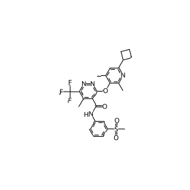 Cc1cc(C2CCC2)nc(C)c1Oc1nnc(C(F)(F)F)c(C)c1C(=O)Nc1cccc(S(C)(=O)=O)c1